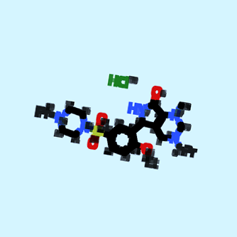 CCCN1CC2=C(C(=O)NC2c2cc(S(=O)(=O)N3CCN(C(C)C)CC3)ccc2OCC)N(C)C1.Cl